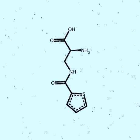 N[C@@H](CNC(=O)c1cccs1)C(=O)O